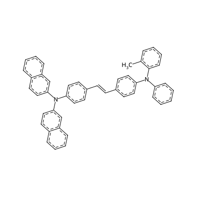 Cc1ccccc1N(c1ccccc1)c1ccc(/C=C/c2ccc(N(c3ccc4ccccc4c3)c3ccc4ccccc4c3)cc2)cc1